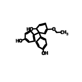 CCOC1=CC(c2ccc(O)cc2)(c2ccc(O)cc2)C(O)C=C1